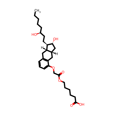 CCCCC[C@H](O)CC[C@@H]1[C@H]2Cc3cccc(OCC(=O)OCCCCCC(=O)O)c3C[C@H]2C[C@H]1O